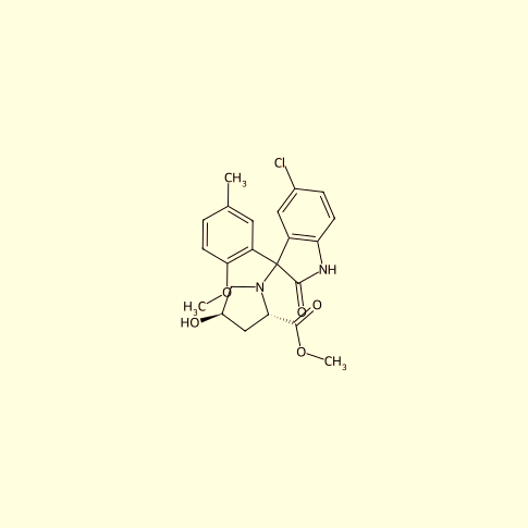 COC(=O)[C@@H]1C[C@@H](O)CN1C1(c2cc(C)ccc2OC)C(=O)Nc2ccc(Cl)cc21